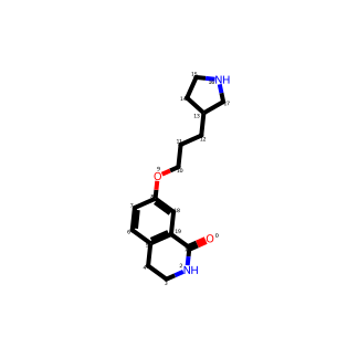 O=C1NCCc2ccc(OCCCC3CCNC3)cc21